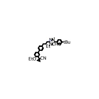 CCOc1ccc(-c2ccc(CCC/C(=N/N(C)Cc3ccc(C(C)(C)C)cc3)N(C=O)CC)cc2)cc1C1(C#N)CC1